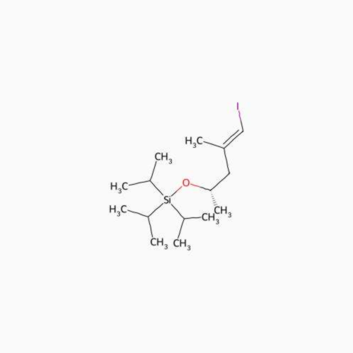 C/C(=C\I)C[C@H](C)O[Si](C(C)C)(C(C)C)C(C)C